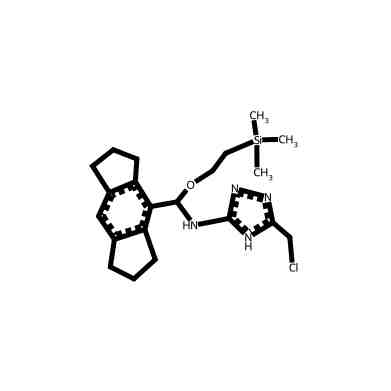 C[Si](C)(C)CCOC(Nc1nnc(CCl)[nH]1)c1c2c(cc3c1CCC3)CCC2